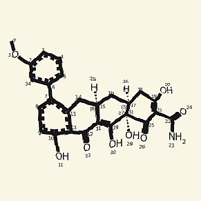 COc1cccc(-c2ccc(O)c3c2C[C@H]2C[C@H]4CC(O)=C(C(N)=O)C(=O)[C@@]4(O)C(O)=C2C3=O)c1